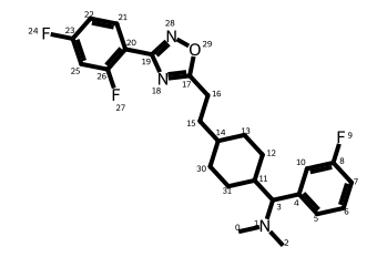 CN(C)C(c1cccc(F)c1)C1CCC(CCc2nc(-c3ccc(F)cc3F)no2)CC1